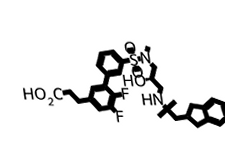 CN(C[C@H](O)CNC(C)(C)CC1Cc2ccccc2C1)S(=O)(=O)c1cccc(-c2cc(CCC(=O)O)cc(F)c2F)c1